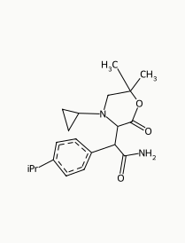 CC(C)c1ccc(C(C(N)=O)C2C(=O)OC(C)(C)CN2C2CC2)cc1